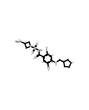 CNC1CN(S(=O)(=O)NC(=O)c2cc(Cl)c(OCC3CCCC3)cc2F)C1